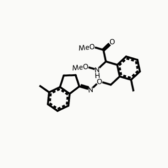 CONC(C(=O)OC)c1cccc(C)c1CO/N=C1\CCc2c(C)cccc21